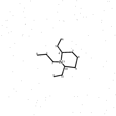 CCCN1C(CC)CCCC1CC